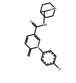 C=C1C=CC(C(=O)NC2CN3CCC2CC3)=CN1c1ccc(Cl)cc1